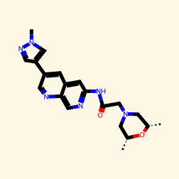 C[C@@H]1CN(CC(=O)Nc2cc3cc(-c4cnn(C)c4)cnc3cn2)C[C@H](C)O1